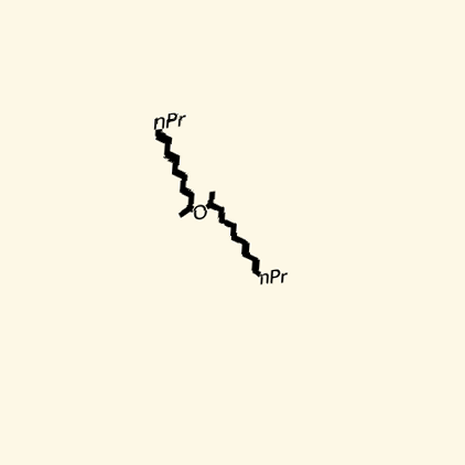 CCCC=CC=CCCCCC(C)OC(C)CCCCC=CC=CCCC